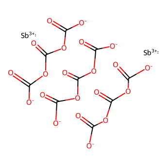 O=C([O-])OC(=O)OC(=O)[O-].O=C([O-])OC(=O)OC(=O)[O-].O=C([O-])OC(=O)OC(=O)[O-].[Sb+3].[Sb+3]